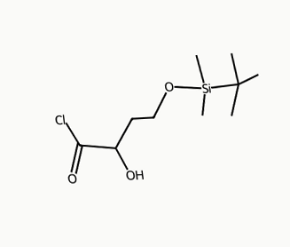 CC(C)(C)[Si](C)(C)OCCC(O)C(=O)Cl